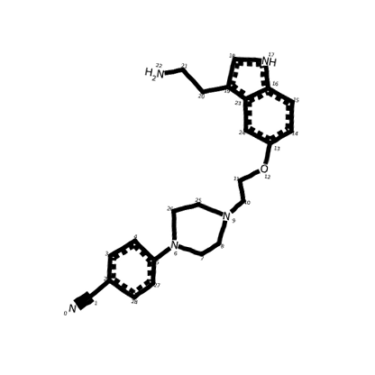 N#Cc1ccc(N2CCN(CCOc3ccc4[nH]cc(CCN)c4c3)CC2)cc1